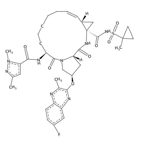 Cc1cc(C(=O)N[C@H]2CCCCCC=C[C@@H]3C[C@@]3(C(=O)NS(=O)(=O)C3(C)CC3)NC(=O)[C@@H]3C[C@@H](Oc4nc5cc(F)ccc5nc4C)CN3C2=O)n(C)n1